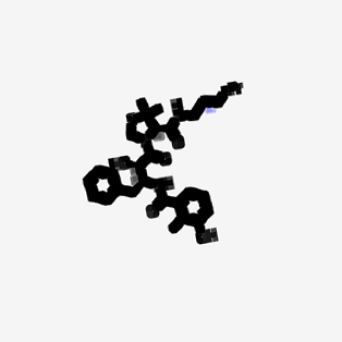 CCC/C=C/CNC(=O)[C@H]1N(C(=O)[C@@H](O)[C@H](Cc2ccccc2)NC(=O)c2cccc(O)c2C)CSC1(C)C